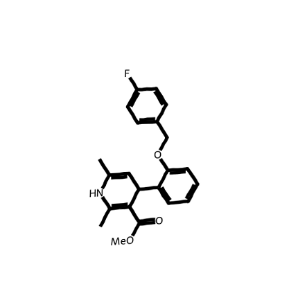 COC(=O)C1=C(C)NC(C)=CC1c1ccccc1OCc1ccc(F)cc1